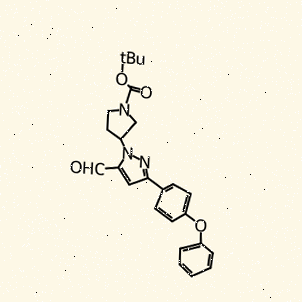 CC(C)(C)OC(=O)N1CCC(n2nc(-c3ccc(Oc4ccccc4)cc3)cc2C=O)C1